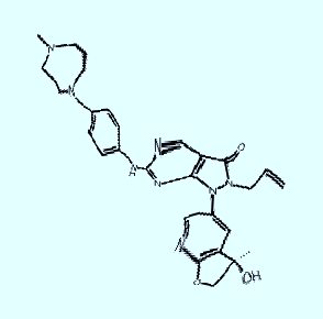 C=CCn1c(=O)c2cnc(Nc3ccc(N4CCN(C)CC4)cc3)nc2n1-c1cnc2c(c1)[C@@](C)(O)CO2